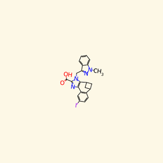 Cn1nc(Cn2c(C(=O)O)nc3c2C2CC(C2)c2ccc(I)cc2-3)c2ccccc21